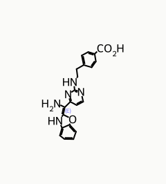 N/C(=C1\Nc2ccccc2O1)c1ccnc(NCCc2ccc(C(=O)O)cc2)n1